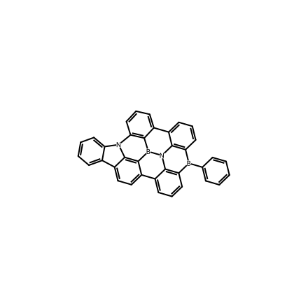 c1ccc(B2c3cccc4c3N3B5c6c-4cccc6-n4c6ccccc6c6ccc(c5c64)-c4cccc2c43)cc1